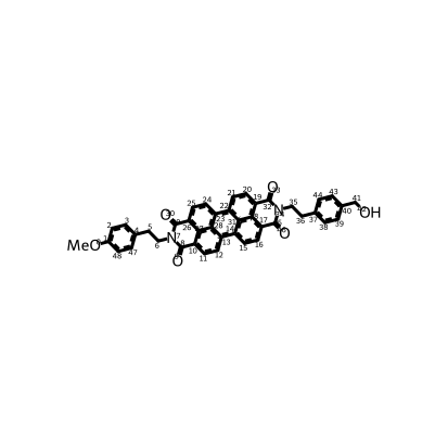 COc1ccc(CCN2C(=O)c3ccc4c5ccc6c7c(ccc(c8ccc(c3c48)C2=O)c75)C(=O)N(CCc2ccc(CO)cc2)C6=O)cc1